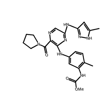 COC(=O)Nc1cc(Nc2nc(Nc3cc(C)[nH]n3)cnc2C(=O)N2CCCC2)ccc1C